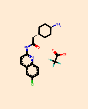 N[C@H]1CC[C@H](CC(=O)Nc2ccc3cc(Cl)ccc3n2)CC1.O=C(O)C(F)(F)F